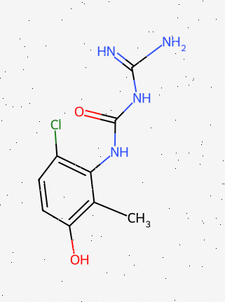 Cc1c(O)ccc(Cl)c1NC(=O)NC(=N)N